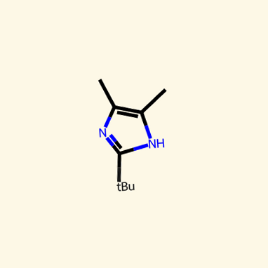 Cc1nc(C(C)(C)C)[nH]c1C